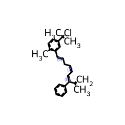 C=C(C)/C(=C\C=C/C/C=C/c1cc(C(C)(C)Cl)ccc1C)c1ccccc1